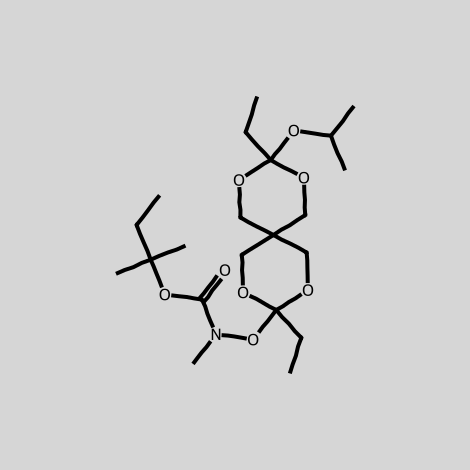 CCC(C)(C)OC(=O)N(C)OC1(CC)OCC2(COC(CC)(OC(C)C)OC2)CO1